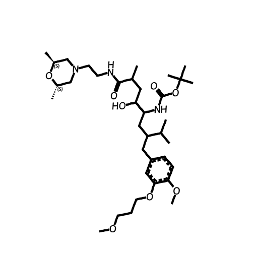 COCCCOc1cc(CC(CC(NC(=O)OC(C)(C)C)C(O)CC(C)C(=O)NCCN2C[C@H](C)O[C@@H](C)C2)C(C)C)ccc1OC